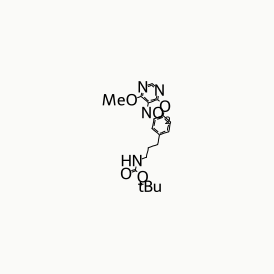 COc1ncnc(Oc2ccc(CCCNC(=O)OC(C)(C)C)cc2)c1[N+](=O)[O-]